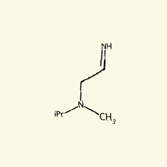 CC(C)N(C)CC=N